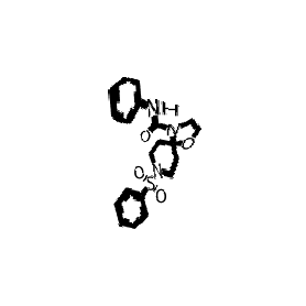 O=C(Nc1ccccc1)N1CCOC12CCN(S(=O)(=O)c1ccccc1)CC2